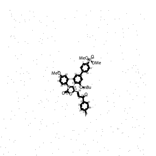 CCCCOc1cc(-c2ccc(P(=O)(OC)OC)cc2)ccc1[C@@H]1[C@@H](/C=C/C(=O)c2ccc(F)cc2)OC(=O)N1c1ccc(OC)cc1